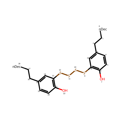 CCCCCCCCCCCCc1ccc(O)c(SSSSc2cc(CCCCCCCCCCCC)ccc2O)c1